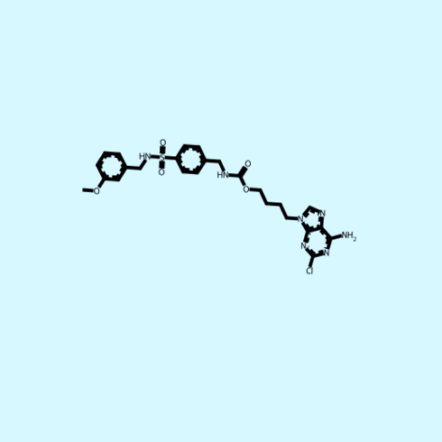 COc1cccc(CNS(=O)(=O)c2ccc(CNC(=O)OCCCCn3cnc4c(N)nc(Cl)nc43)cc2)c1